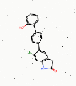 O=C1Cc2cc(-c3ccc(-c4ccccc4O)cc3)c(Cl)cc2N1